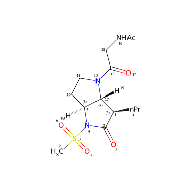 CCC[C@H]1C(=O)N(S(C)(=O)=O)[C@H]2CCN(C(=O)CNC(C)=O)[C@H]12